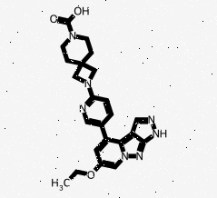 CCOc1cc(-c2ccc(N3CC4(CCN(C(=O)O)CC4)C3)nc2)c2c3cn[nH]c3nn2c1